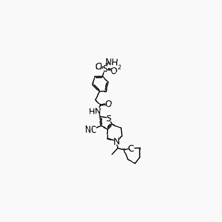 CC(C1CCCCC1)N1CCc2sc(NC(=O)Cc3ccc(S(N)(=O)=O)cc3)c(C#N)c2C1